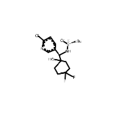 CC(C)(C)[S@+]([O-])NC(c1ccc(Cl)nc1)C1(O)CCC(F)(F)CC1